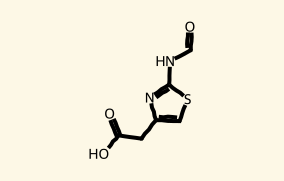 O=CNc1nc(CC(=O)O)cs1